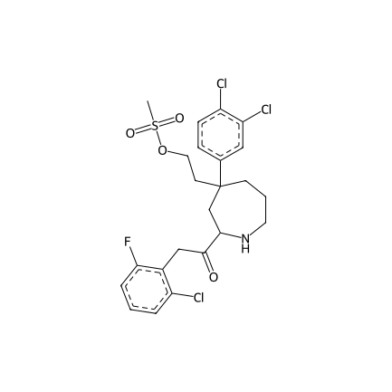 CS(=O)(=O)OCCC1(c2ccc(Cl)c(Cl)c2)CCCNC(C(=O)Cc2c(F)cccc2Cl)C1